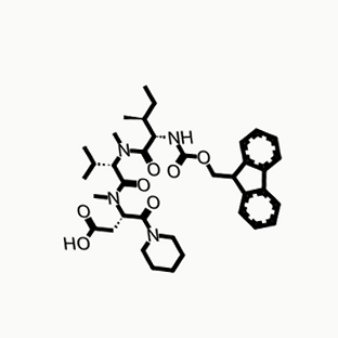 CC[C@H](C)[C@H](NC(=O)OCC1c2ccccc2-c2ccccc21)C(=O)N(C)[C@H](C(=O)N(C)[C@@H](CC(=O)O)C(=O)N1CCCCC1)C(C)C